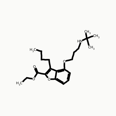 CCCCc1c(C(=O)OCC)oc2cccc(OCCCNC(C)(C)C)c12